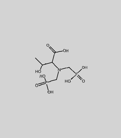 CC(O)C(C(=O)O)N(CP(=O)(O)O)CP(=O)(O)O